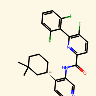 CC1(C)CCC[C@H](c2ccncc2NC(=O)c2ccc(F)c(-c3c(F)cccc3F)n2)C1